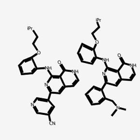 CC(C)CCOc1ccccc1Nc1nc(-c2ccccc2CN(C)C)cc2cc[nH]c(=O)c12.CC(C)CCOc1ccccc1Nc1nc(-c2cncc(C#N)c2)cc2cc[nH]c(=O)c12